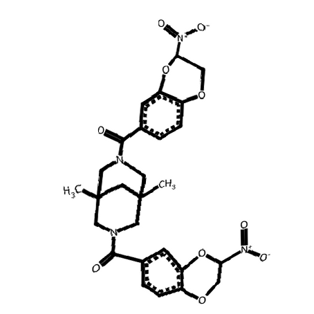 CC12CN(C(=O)c3ccc4c(c3)OC([N+](=O)[O-])CO4)CC(C)(CN(C(=O)c3ccc4c(c3)OC([N+](=O)[O-])CO4)C1)C2